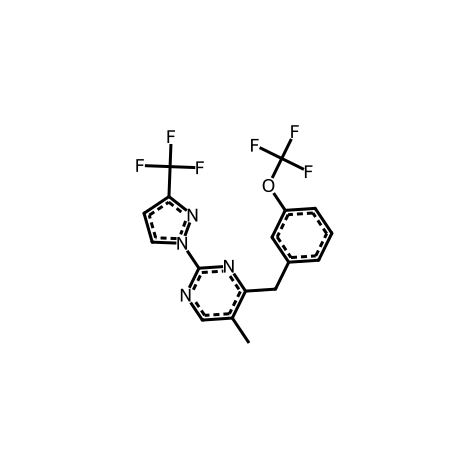 Cc1cnc(-n2ccc(C(F)(F)F)n2)nc1Cc1cccc(OC(F)(F)F)c1